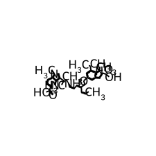 C\C=C/C(=C\C=C/NC(C)(C)c1cn(C)c2ccc(C(=O)O)nc12)COc1cc(C(C)C)c2c(c1)cc(C(=O)O)n2C